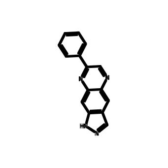 c1ccc(-c2cnc3cc4cn[nH]c4cc3n2)cc1